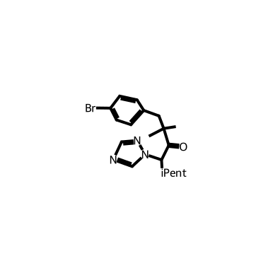 CCCC(C)C(C(=O)C(C)(C)Cc1ccc(Br)cc1)n1cncn1